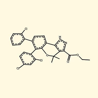 CCOC(=O)c1n[nH]c2c1C(C)(C)Oc1c-2ccc(-c2ccccc2Cl)c1-c1ccc(Cl)cc1Cl